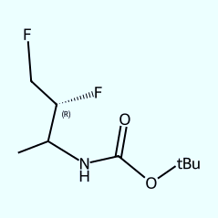 CC(NC(=O)OC(C)(C)C)[C@@H](F)CF